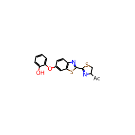 CC(=O)C1CSC(c2nc3ccc(Oc4ccccc4O)cc3s2)=N1